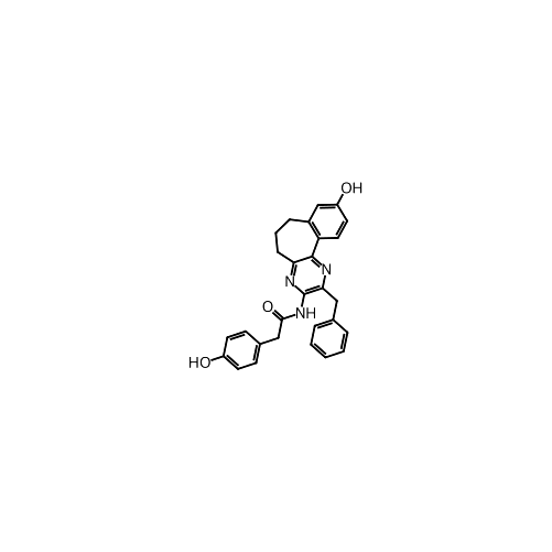 O=C(Cc1ccc(O)cc1)Nc1nc2c(nc1Cc1ccccc1)-c1ccc(O)cc1CCC2